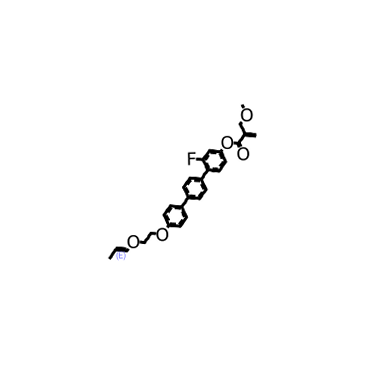 C=C(COC)C(=O)Oc1ccc(-c2ccc(-c3ccc(OCCO/C=C/C)cc3)cc2)c(F)c1